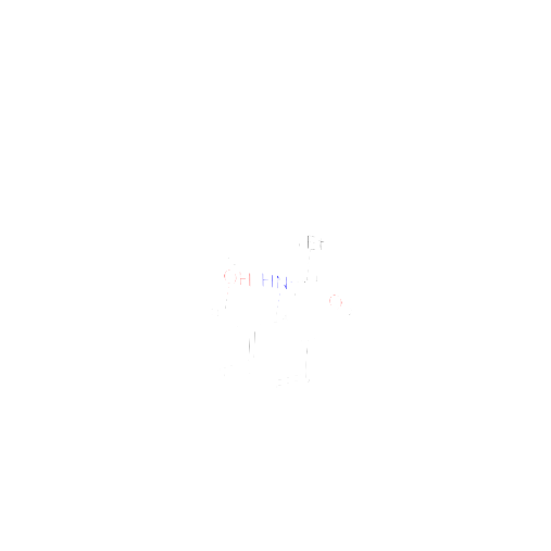 CCC(=O)Nc1cccc(C)c1CO